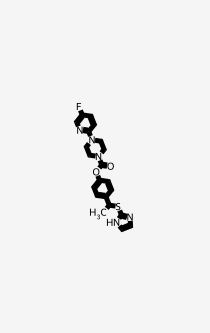 CC(Sc1ncc[nH]1)c1ccc(OC(=O)N2CCN(c3ccc(F)cn3)CC2)cc1